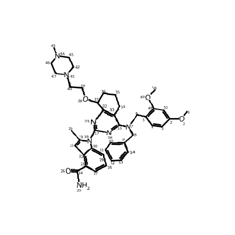 COc1ccc(CN(Cc2ccccc2)c2nc(-n3c(C)cc4c(C(N)=O)cccc43)nc3c2CCCC3OCCN2CCN(C)CC2)c(OC)c1